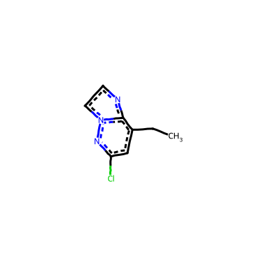 CCc1cc(Cl)nn2ccnc12